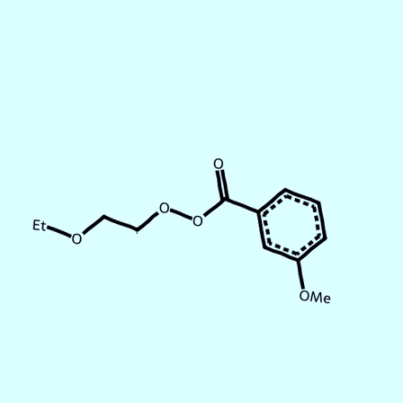 CCOC[CH]OOC(=O)c1cccc(OC)c1